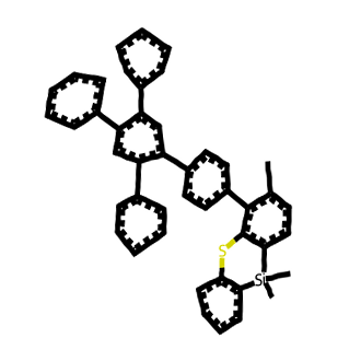 Cc1ccc2c(c1-c1ccc(-c3cc(-c4ccccc4)c(-c4ccccc4)cc3-c3ccccc3)cc1)Sc1ccccc1[Si]2(C)C